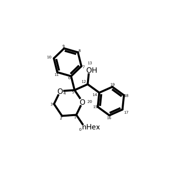 CCCCCCC1CCOC(c2ccccc2)(C(O)c2ccccc2)O1